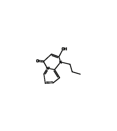 CCCn1c(O)cc(=O)[n+]2ccccc12